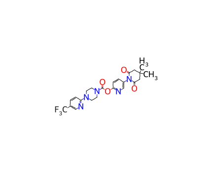 CC1(C)CC(=O)N(c2ccc(OC(=O)N3CCN(c4ccc(C(F)(F)F)cn4)CC3)nc2)C(=O)C1